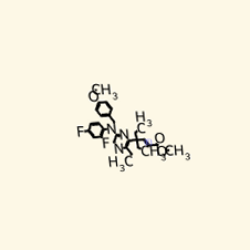 CCc1ncc(N(Cc2ccc(OC)cc2)c2ccc(F)cc2F)nc1C(/C=C/C(=O)OC)(CC)CC